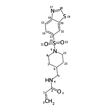 C=CC(=O)NCC1CCN(S(=O)(=O)c2ccc3ncsc3c2)CC1